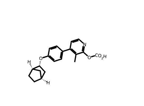 Cc1c(-c2ccc(O[C@@H]3C[C@H]4CC[C@@H]3C4)cc2)ccnc1OC(=O)O